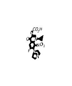 O=C(O)Oc1cn(C2CC2)c2c([N+](=O)[O-])c(N3CCN4CCC3C4)c(F)cc2c1=O